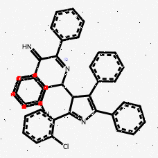 N=C(/C(=N\C(c1ccccc1Cl)C1C(c2ccccc2Cl)=NC(c2ccccc2)=C1c1ccccc1)c1ccccc1)c1ccccc1